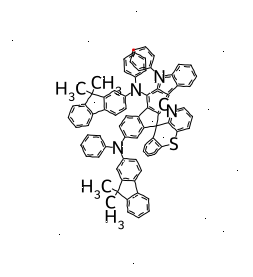 CC1(C)c2ccccc2-c2ccc(N(c3ccccc3)c3ccc4c(c3)C3(c5ccccc5Sc5cccnc53)c3cc5c6ccccc6n(-c6ccccc6)c5c(N(c5ccccc5)c5ccc6c(c5)C(C)(C)c5ccccc5-6)c3-4)cc21